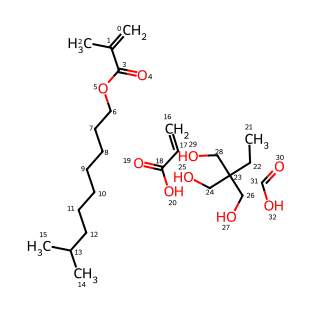 C=C(C)C(=O)OCCCCCCCC(C)C.C=CC(=O)O.CCC(CO)(CO)CO.O=CO